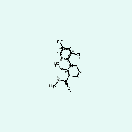 COC(=O)C1=C(SC)N(c2ccc(Cl)cc2Cl)CCC1